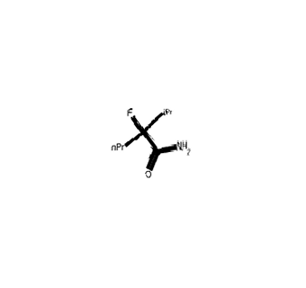 CCCC(F)(C(N)=O)C(C)C